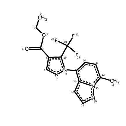 CCOC(=O)c1cnn(-c2ccc(C)n3nccc23)c1C(F)(F)F